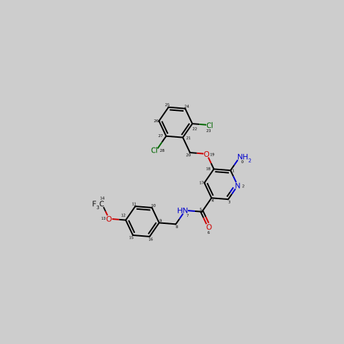 Nc1ncc(C(=O)NCc2ccc(OC(F)(F)F)cc2)cc1OCc1c(Cl)cccc1Cl